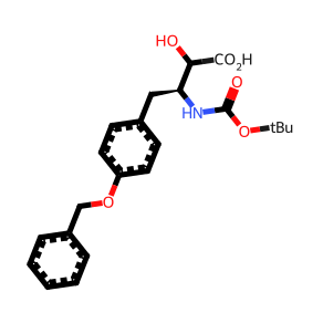 CC(C)(C)OC(=O)N[C@@H](Cc1ccc(OCc2ccccc2)cc1)C(O)C(=O)O